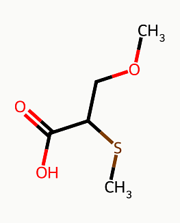 COCC(SC)C(=O)O